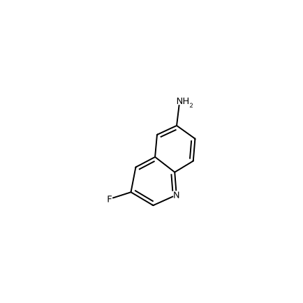 Nc1ccc2ncc(F)cc2c1